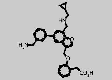 NCc1cccc(-c2cc(CNCC3CC3)c3occ(COc4ccccc4CC(=O)O)c3c2)c1